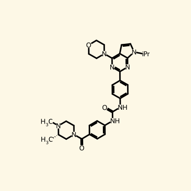 CC(C)n1ccc2c(N3CCOCC3)nc(-c3ccc(NC(=O)Nc4ccc(C(=O)N5CCN(C)[C@@H](C)C5)cc4)cc3)nc21